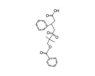 CC(C)(COC(=O)c1ccccc1)S(=O)(=O)CC(CC(=O)O)c1ccccc1